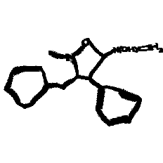 CN(O)C1ON(C)C(Cc2ccccc2)C1c1ccccc1